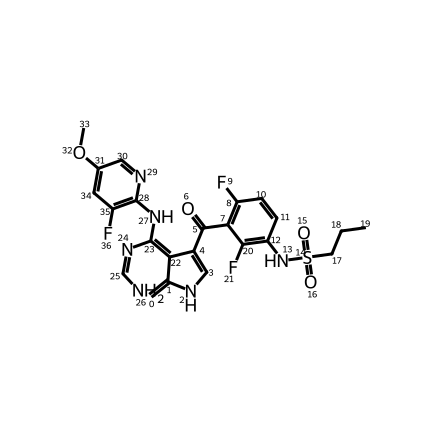 C=c1[nH]cc(C(=O)c2c(F)ccc(NS(=O)(=O)CCC)c2F)/c1=C(/N=C\N)Nc1ncc(OC)cc1F